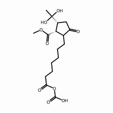 COC(=O)[C@H]1C(CCCCCCC(=O)OC(=O)O)C(=O)C[C@H]1C(C)(O)O